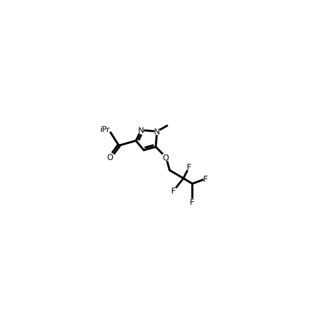 CC(C)C(=O)c1cc(OCC(F)(F)C(F)F)n(C)n1